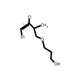 CC/C=C(/Cl)C(C)COCCCO